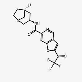 O=C(N[C@@H]1C[C@@H]2CCN(C2)C1)c1cc2oc(C(=O)C(F)(F)F)cc2cn1